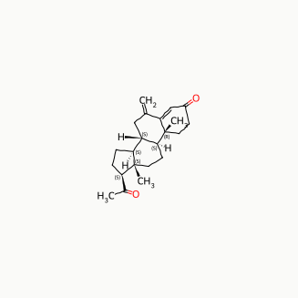 C=C1C[C@H]2[C@@H]3CC[C@H](C(C)=O)[C@@]3(C)CC[C@@H]2[C@@]2(C)CCC(=O)C=C12